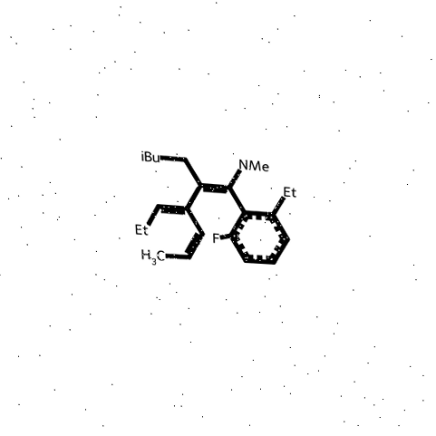 C\C=C/C(=C\CC)C(/CC(C)CC)=C(/NC)c1c(F)cccc1CC